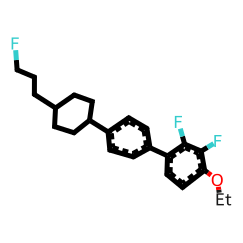 CCOc1ccc(-c2ccc(C3CCC(CCCF)CC3)cc2)c(F)c1F